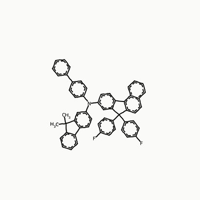 CC1(C)c2ccccc2-c2ccc(N(c3ccc(-c4ccccc4)cc3)c3ccc4c(c3)C(c3ccc(F)cc3)(c3ccc(F)cc3)c3ccc5ccccc5c3-4)cc21